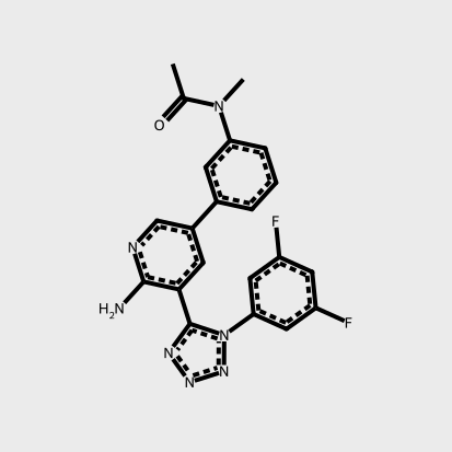 CC(=O)N(C)c1cccc(-c2cnc(N)c(-c3nnnn3-c3cc(F)cc(F)c3)c2)c1